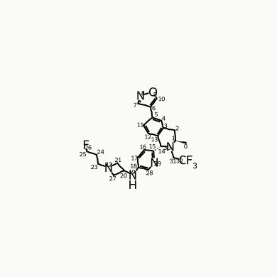 C[C@@H]1Cc2cc(-c3cnoc3)ccc2[C@@H](c2ccc(NC3CN(CCCF)C3)cn2)N1CC(F)(F)F